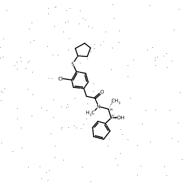 C[C@H]([C@@H](O)c1ccccc1)N(C)C(=O)Cc1ccc(SC2CCCC2)c(Cl)c1